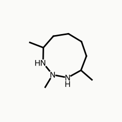 CC1CCCCC(C)NN(C)N1